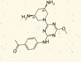 COc1nc(Nc2ccc(C(C)=O)cc2)nc(N2C[C@H](N)C[C@H](N)C2)n1